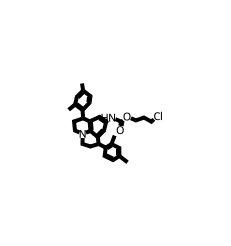 Cc1ccc(C2CCN3CCC(c4ccc(C)cc4C)c4cc(NC(=O)OCCCCl)cc2c43)c(C)c1